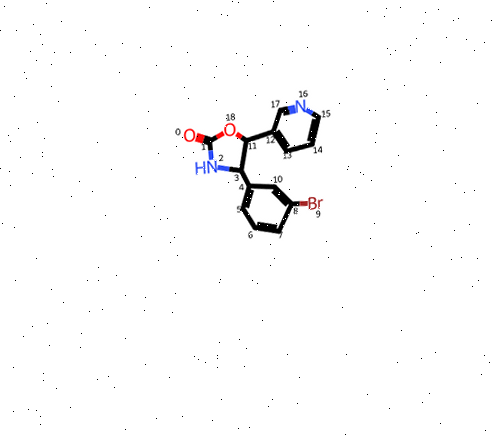 O=C1NC(c2cccc(Br)c2)C(c2cccnc2)O1